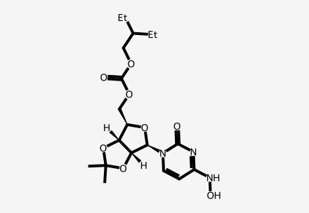 CCC(CC)COC(=O)OC[C@H]1O[C@@H](n2ccc(NO)nc2=O)[C@@H]2OC(C)(C)O[C@@H]21